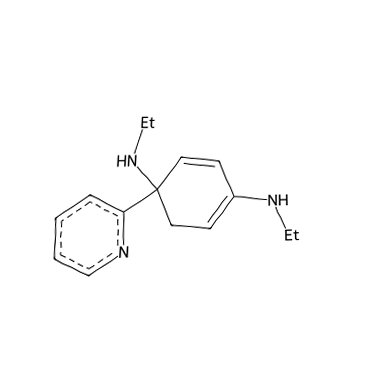 CCNC1=CCC(NCC)(c2ccccn2)C=C1